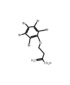 C=C(CCOc1c(Br)c(Br)c(Br)c(Br)c1Br)C(=O)O